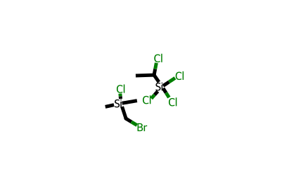 CC(Cl)[Si](Cl)(Cl)Cl.C[Si](C)(Cl)CBr